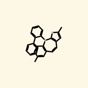 Cc1ccc2c(c1)C=Cc1cc(C)oc1N2c1ccccc1-c1ccccc1